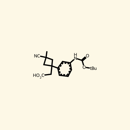 CC1(C#N)CC(CC(=O)O)(c2cccc(NC(=O)OC(C)(C)C)c2)C1